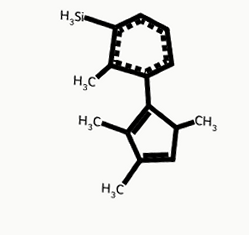 CC1=CC(C)C(c2cccc([SiH3])c2C)=C1C